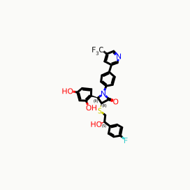 O=C1[C@H](SC[C@@H](O)c2ccc(F)cc2)[C@@H](c2ccc(O)cc2O)N1c1ccc(-c2cncc(C(F)(F)F)c2)cc1